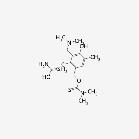 Cc1cc(COC(=S)N(C)C)c(C)c(CN(C)C)c1O.NC(O)=S